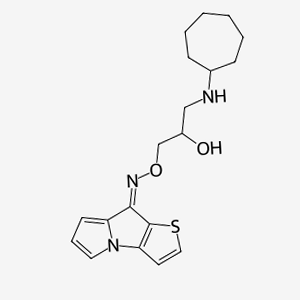 OC(CNC1CCCCCC1)CON=C1c2sccc2-n2cccc21